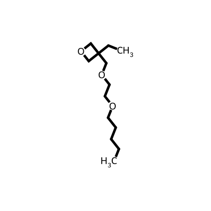 CCCCCOCCOCC1(CC)COC1